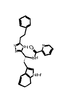 O=C(N[C@H](Cc1c[nH]c2c1C=CCC2)c1nnc(CCc2ccccc2)[nH]1)c1ccccn1